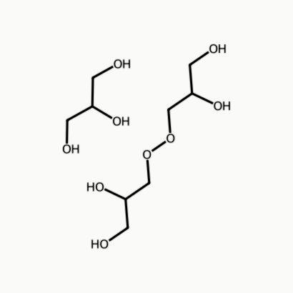 OCC(O)CO.OCC(O)COOCC(O)CO